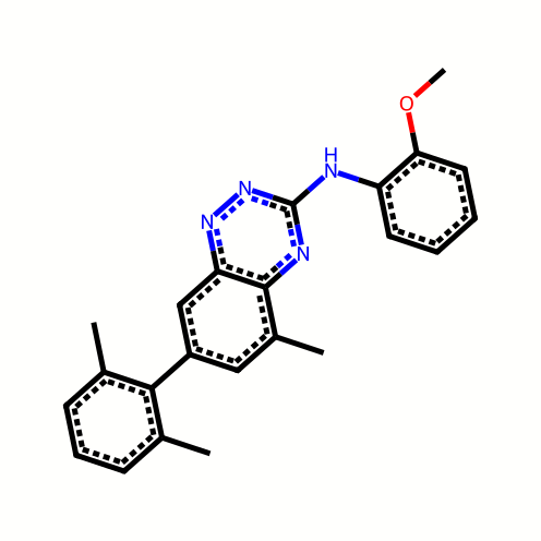 COc1ccccc1Nc1nnc2cc(-c3c(C)cccc3C)cc(C)c2n1